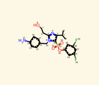 CC(C)c1nc(CCO)n(Cc2ccc(N)cc2)c1S(=O)(=O)Oc1cc(F)cc(F)c1